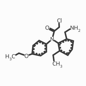 CCOc1ccc(N(C(=O)CCl)c2c(CC)cccc2CN)cc1